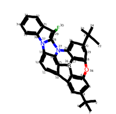 CC(C)(C)c1cc2c3c(c1)-c1ccc4c5c1B3c1c(cc(C(C)(C)C)cc1-n5c1c(F)c3ccccc3n41)O2